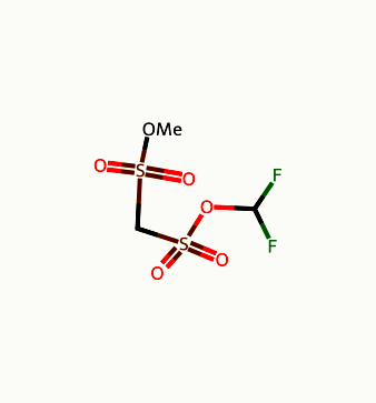 COS(=O)(=O)CS(=O)(=O)OC(F)F